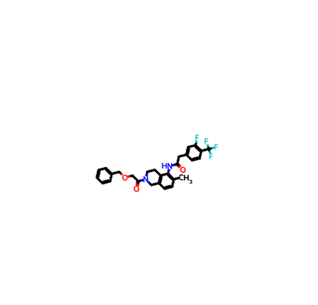 Cc1ccc2c(c1NC(=O)Cc1ccc(C(F)(F)F)c(F)c1)CCN(C(=O)COCc1ccccc1)C2